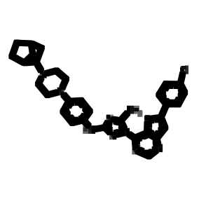 Nc1nc(Nc2ccc(N3CCN(C4CC5CCC4C5)CC3)cc2)nn1-c1ncnc2cc(-c3ccc(Cl)cc3)sc12